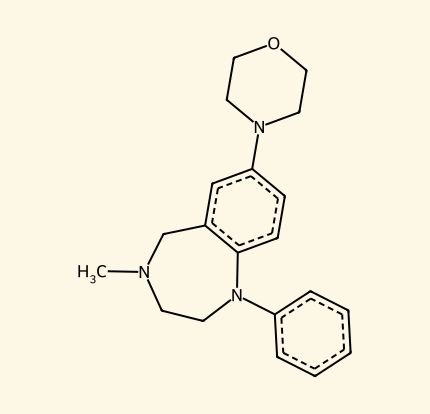 CN1CCN(c2ccccc2)c2ccc(N3CCOCC3)cc2C1